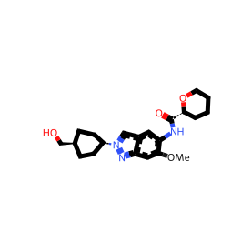 COc1cc2nn([C@H]3CC[C@H](CO)CC3)cc2cc1NC(=O)[C@H]1CCCCO1